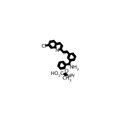 CCCC(C)(Oc1ccccc1C(N)c1cccc(/C=C/c2ccc3ccc(Cl)cc3n2)c1)C(=O)O